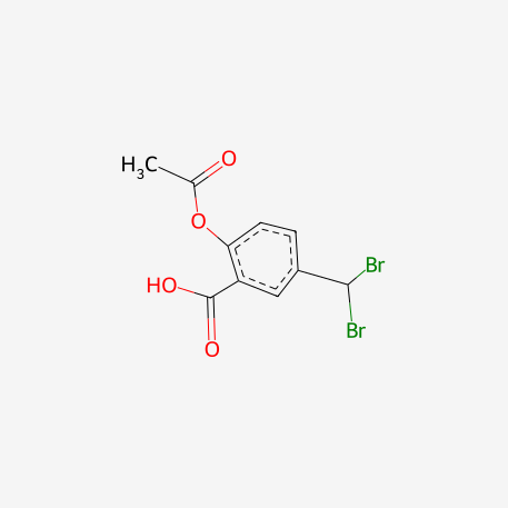 CC(=O)Oc1ccc(C(Br)Br)cc1C(=O)O